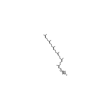 CC(C)=CCC/C(C)=C/CC/C(C)=C/CC/C(C)=C/CC/C(C)=C\CC/C(C)=C\COPP